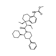 CC[C@@H](C(=O)N1CC[C@@H](c2ccccc2)C[C@H]1C1CCCCC1)[C@]1(CC)CCCc2c(NC(=O)OC)cccc21